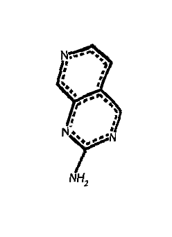 Nc1ncc2ccncc2n1